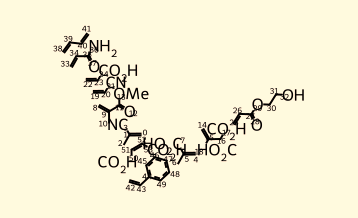 C=C(C)C#N.C=C(C)C(=O)O.C=C(C)C(=O)OC.C=C(CC(=O)O)C(=O)O.C=CC#N.C=CC(=O)O.C=CC(=O)OCCO.C=CC(N)=O.C=CC=C.C=Cc1ccccc1.O=C(O)/C=C\C(=O)O